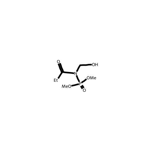 CCC(=O)N(CO)P(=O)(OC)OC